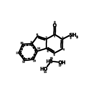 O=C1C([SiH3])=CC=C2C1=Cc1ccccc12.OBO